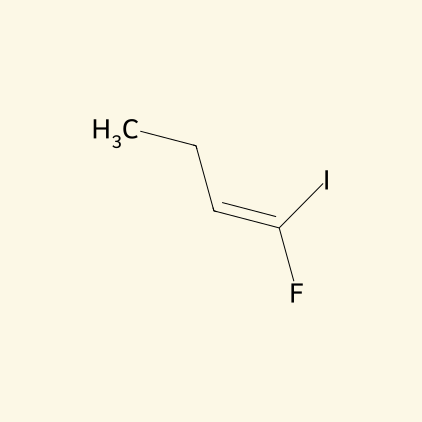 CCC=C(F)I